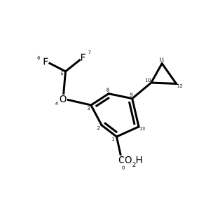 O=C(O)c1cc(OC(F)F)cc(C2CC2)c1